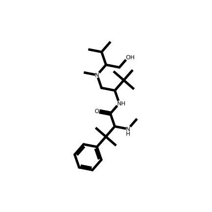 CNC(C(=O)NC(CN(C)C(CO)C(C)C)C(C)(C)C)C(C)(C)c1ccccc1